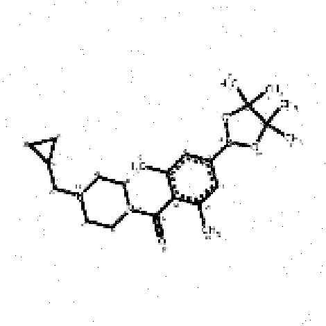 Cc1cc(B2OC(C)(C)C(C)(C)O2)cc(C)c1C(=O)N1CCN(CC2CC2)CC1